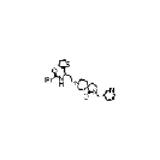 CC(C)C(=O)NC(CCN1CCC2(CC1)CCN(Cc1cccnc1)C2=O)c1cccs1